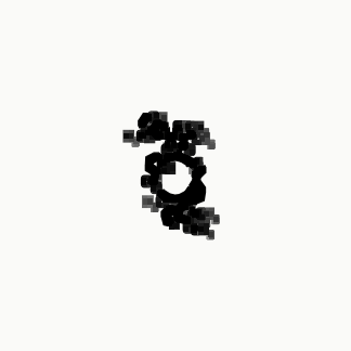 CCn1c(-c2cccnc2[C@H](C)OC)c2c3cc(ccc31)-c1csc(n1)C[C@H](NC(=O)[C@H](C(C)C)N(C)C(=O)N1C[C@@H]3OCCN(C)[C@H]3C1)C(=O)N1CCC[C@H](N1)C(=O)OCC(C)(C)C2